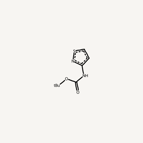 CC(C)(C)OC(=O)Nc1ccsn1